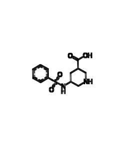 O=C(O)C1CNCC(NS(=O)(=O)c2ccccc2)C1